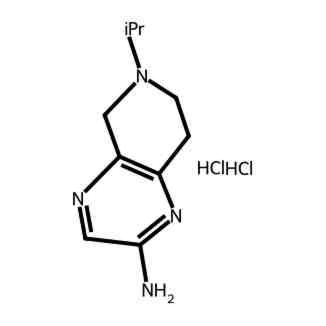 CC(C)N1CCc2nc(N)cnc2C1.Cl.Cl